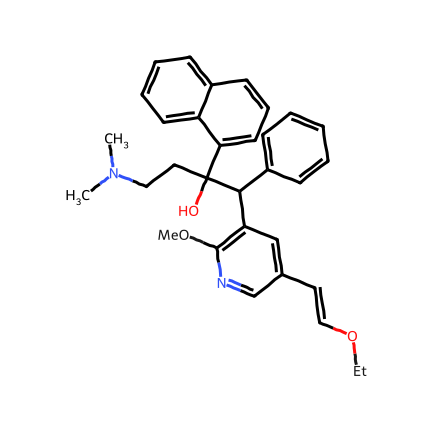 CCOC=Cc1cnc(OC)c(C(c2ccccc2)C(O)(CCN(C)C)c2cccc3ccccc23)c1